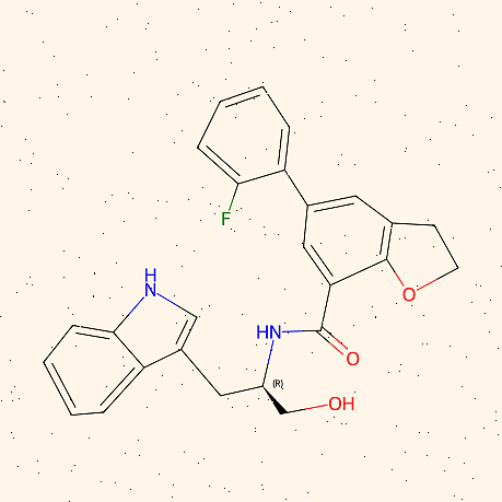 O=C(N[C@@H](CO)Cc1c[nH]c2ccccc12)c1cc(-c2ccccc2F)cc2c1OCC2